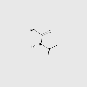 CCCC(=O)NN(C)C.Cl